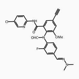 C#Cc1cc(OC)c(N(C=O)c2ccc(C=NN(C)C)cc2F)c(C(=O)Nc2ccc(Cl)cn2)c1